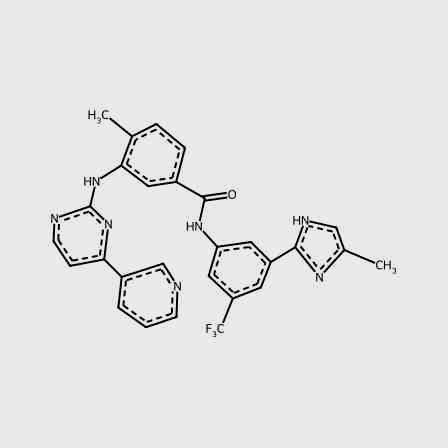 Cc1c[nH]c(-c2cc(NC(=O)c3ccc(C)c(Nc4nccc(-c5cccnc5)n4)c3)cc(C(F)(F)F)c2)n1